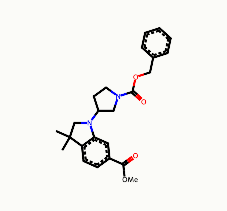 COC(=O)c1ccc2c(c1)N(C1CCN(C(=O)OCc3ccccc3)C1)CC2(C)C